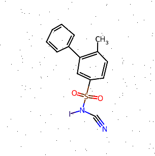 Cc1ccc(S(=O)(=O)N(I)C#N)cc1-c1ccccc1